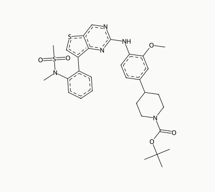 COc1cc(C2CCN(C(=O)OC(C)(C)C)CC2)ccc1Nc1ncc2scc(-c3ccccc3N(C)S(C)(=O)=O)c2n1